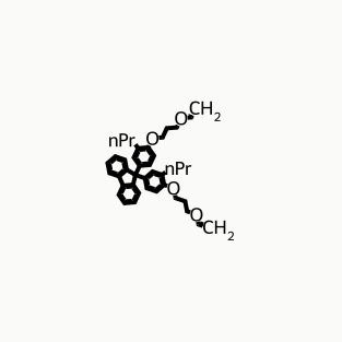 C=COCCCOc1ccc(C2(c3ccc(OCCCOC=C)c(CCC)c3)c3ccccc3-c3ccccc32)cc1CCC